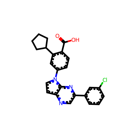 O=C(O)c1ccc(-n2ccc3ncc(-c4cccc(Cl)c4)nc32)cc1C1CCCC1